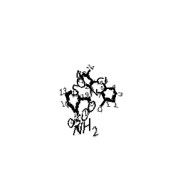 Cc1cccc(C)c1N(C(=O)c1sccc1S(N)(=O)=O)c1onc(C)c1Cl